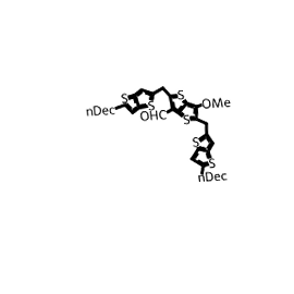 CCCCCCCCCCc1cc2sc(Cc3sc4c(OC)c(Cc5cc6sc(CCCCCCCCCC)cc6s5)sc4c3C=O)cc2s1